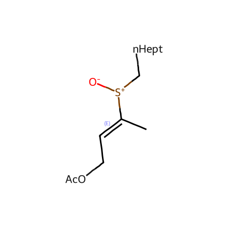 CCCCCCCC[S+]([O-])/C(C)=C/COC(C)=O